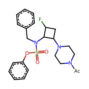 CC(=O)N1CCN(C2CC(F)C2N(Cc2ccccc2)S(=O)(=O)Oc2ccccc2)CC1